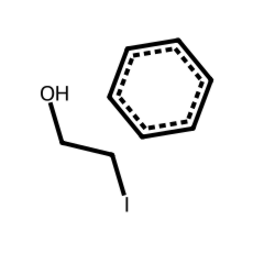 OCCI.c1ccccc1